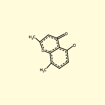 Cc1cc(=O)c2c(Cl)ccc(C)c2o1